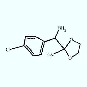 CC1(C(N)c2ccc(Cl)cc2)OCCO1